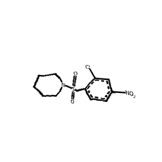 O=[N+]([O-])c1ccc(S(=O)(=O)N2CCCCC2)c(Cl)c1